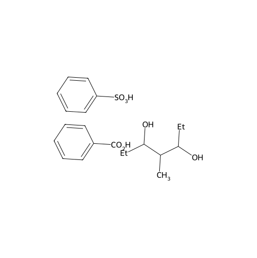 CCC(O)C(C)C(O)CC.O=C(O)c1ccccc1.O=S(=O)(O)c1ccccc1